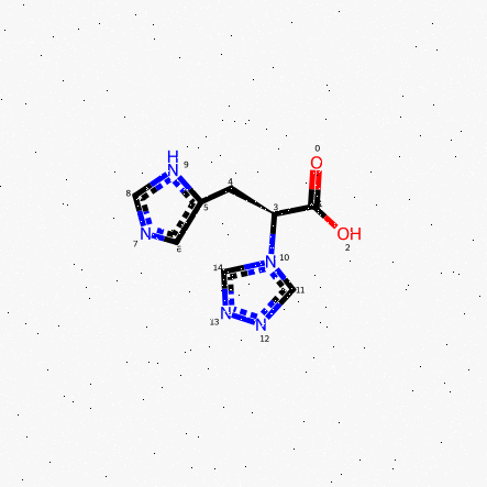 O=C(O)[C@H](Cc1cnc[nH]1)n1cnnc1